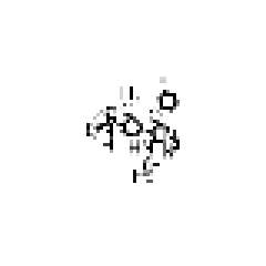 Cc1cc(-c2c(Oc3cccc(F)c3)cn3ccnc3c2NCCC(F)(F)F)ccc1C(=O)NC1(C)CCC1